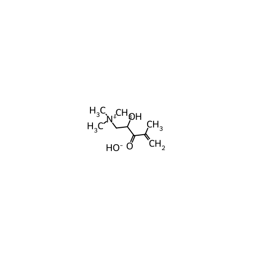 C=C(C)C(=O)C(O)C[N+](C)(C)C.[OH-]